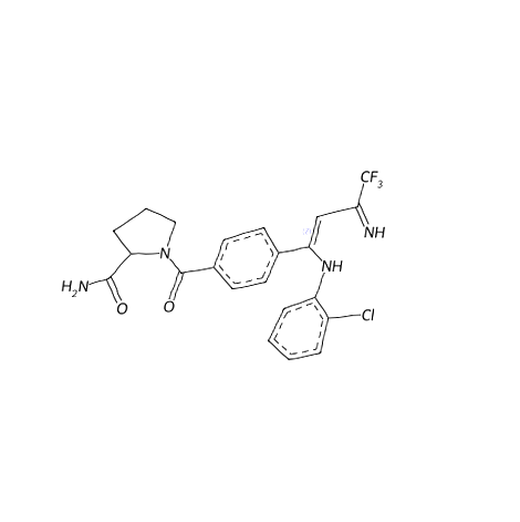 N=C(/C=C(\Nc1ccccc1Cl)c1ccc(C(=O)N2CCCC2C(N)=O)cc1)C(F)(F)F